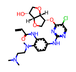 C=CC(=O)Nc1cc(Nc2ncc(Cl)c(O[C@@H]3CO[C@H]4[C@@H]3OC[C@H]4O)n2)ccc1N(C)CCN(C)C